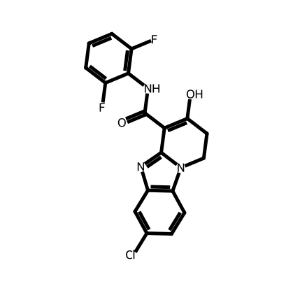 O=C(Nc1c(F)cccc1F)C1=C(O)CCn2c1nc1cc(Cl)ccc12